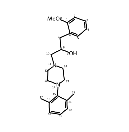 COc1ccccc1CC(O)CN1C[CH]N(c2c(C)cccc2C)CC1